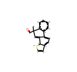 CC1(C=O)C=C2C(=CC=C3C=CSC32)c2ccccc21